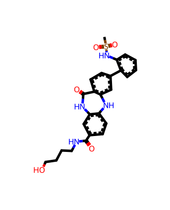 CS(=O)(=O)Nc1ccccc1-c1ccc2c(c1)Nc1ccc(C(=O)NCCCCO)cc1NC2=O